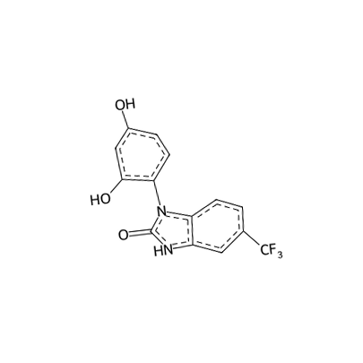 O=c1[nH]c2cc(C(F)(F)F)ccc2n1-c1ccc(O)cc1O